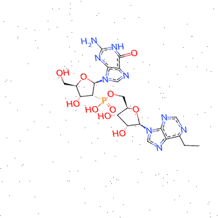 CCc1ncnc2c1ncn2[C@@H]1O[C@H](COP(=O)(O)[C@@H]2[C@H](O)[C@@H](CO)O[C@H]2n2cnc3c(=O)[nH]c(N)nc32)[C@@H](O)[C@H]1O